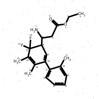 CCOC(=O)CC(N)C1C=C(c2ccccc2C)C(C)=C(C)C1(F)F